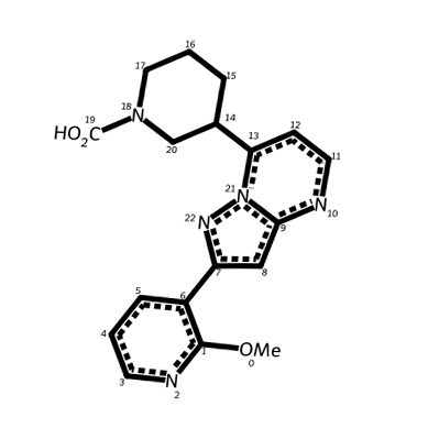 COc1ncccc1-c1cc2nccc(C3CCCN(C(=O)O)C3)n2n1